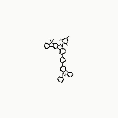 Cc1cc(C)c(-n2c3ccc(-c4ccc(-c5ccc6c(c5)c5ccccc5n6-c5ccccc5)cc4)cc3c3cc4c(cc32)C(C)(C)c2ccccc2-4)c(C)c1